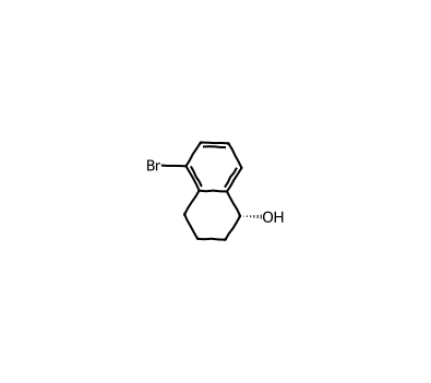 O[C@@H]1CCCc2c(Br)cccc21